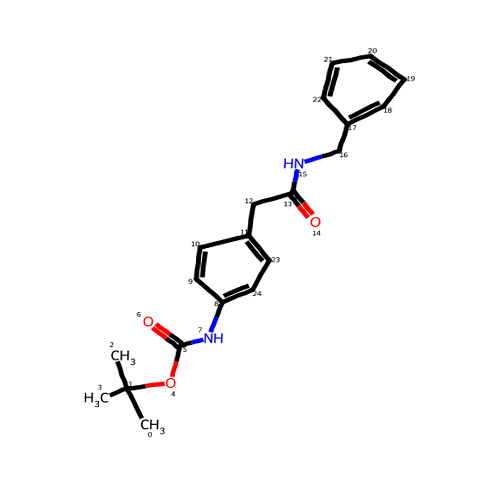 CC(C)(C)OC(=O)Nc1ccc(CC(=O)NCc2ccccc2)cc1